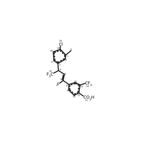 Cc1cc(C(C=C(F)c2ccc(C(=O)O)c(C(F)(F)F)c2)C(F)(F)F)ccc1Cl